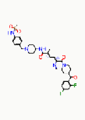 C=N/C(=C\C=C(/C)C(=O)NC1CCN(Cc2ccc(NS(C)(=O)=O)cc2)CC1)C(=O)N1CCC(C(=O)c2ccc(F)cc2F)CC1